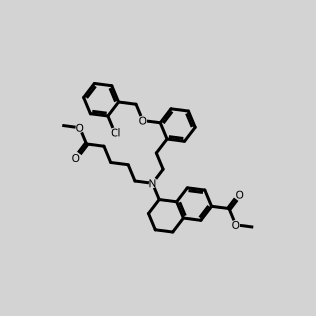 COC(=O)CCCCN(CCc1ccccc1OCc1ccccc1Cl)C1CCCc2cc(C(=O)OC)ccc21